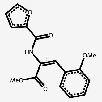 COC(=O)/C(=C\c1ccccc1OC)NC(=O)c1ccco1